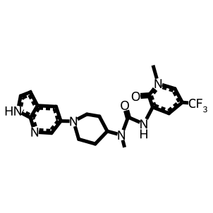 CN(C(=O)Nc1cc(C(F)(F)F)cn(C)c1=O)C1CCN(c2cnc3[nH]ccc3c2)CC1